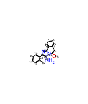 COc1cc2ccccc2c2nc(-c3ccccc3C)c(N)n12